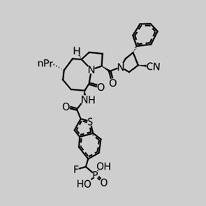 CCC[C@H]1CC[C@H](NC(=O)c2cc3cc(C(F)P(=O)(O)O)ccc3s2)C(=O)N2[C@H](CC[C@H]2C(=O)N2C[C@H](c3ccccc3)[C@@H](C#N)C2)C1